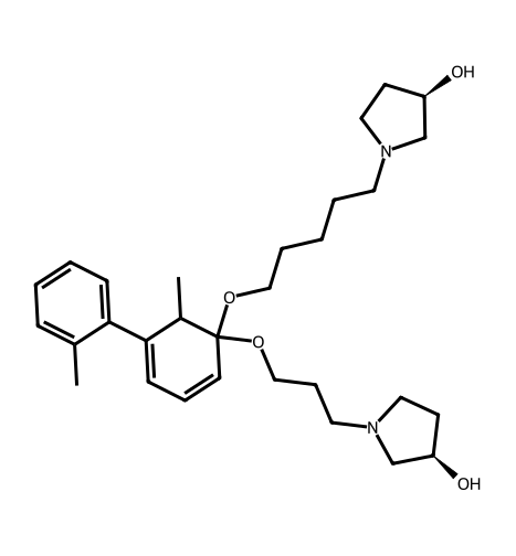 Cc1ccccc1C1=CC=CC(OCCCCCN2CC[C@@H](O)C2)(OCCCN2CC[C@@H](O)C2)C1C